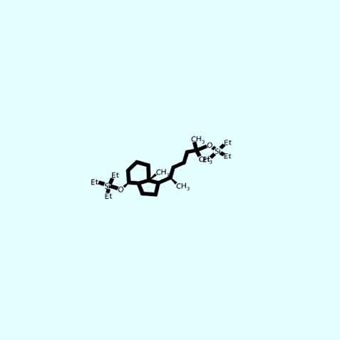 CC[Si](CC)(CC)O[C@H]1CCC[C@]2(C)C([C@H](C)CCCC(C)(C)O[Si](CC)(CC)CC)CCC12